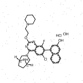 Cl.Cl.Oc1cc(-c2c(Cl)cc3c(N4C[C@H]5CC[C@@H](C4)N5)nc(OCCN4CCCCC4)nc3c2F)c2ccccc2c1